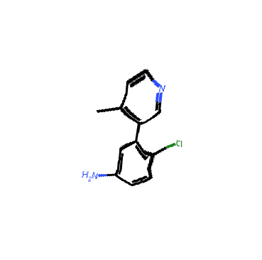 Cc1ccncc1-c1cc(N)ccc1Cl